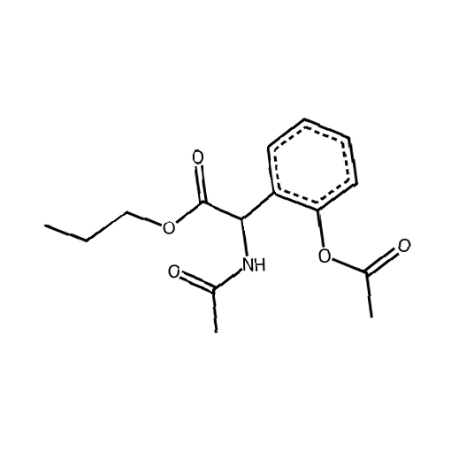 CCCOC(=O)C(NC(C)=O)c1ccccc1OC(C)=O